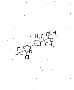 COC(=O)C(C)(C)c1ccc(-c2ccc(C(F)(F)F)c(Cl)n2)cc1